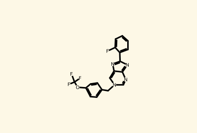 Fc1ccccc1-c1nc2cn(Cc3ccc(OC(F)(F)F)cc3)cnc-2n1